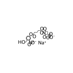 O=C(CCCC(=O)ON1C(=O)CC(S(=O)(=O)[O-])C1=O)Oc1ccc(CO)c([N+](=O)[O-])c1.[Na+]